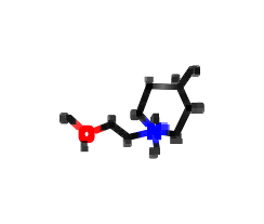 COCC[N+]1(C)CCC(C)CC1